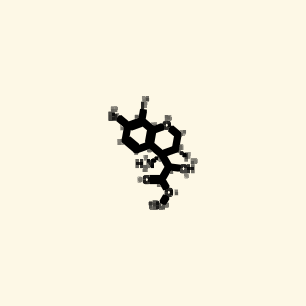 CC(C)(C)OC(=O)C(O)[C@@]1(N)c2ccc(Br)c(F)c2OC[C@@H]1F